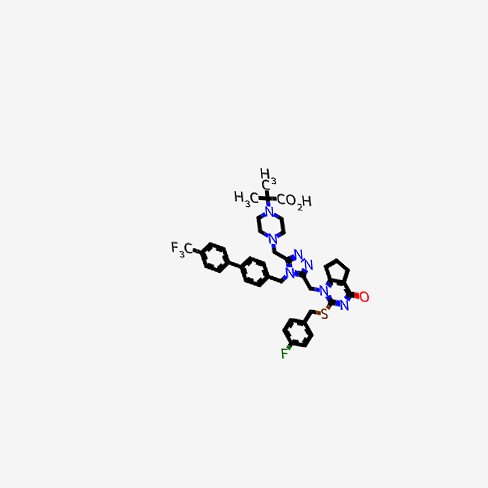 CC(C)(C(=O)O)N1CCN(Cc2nnc(Cn3c(SCc4ccc(F)cc4)nc(=O)c4c3CCC4)n2Cc2ccc(-c3ccc(C(F)(F)F)cc3)cc2)CC1